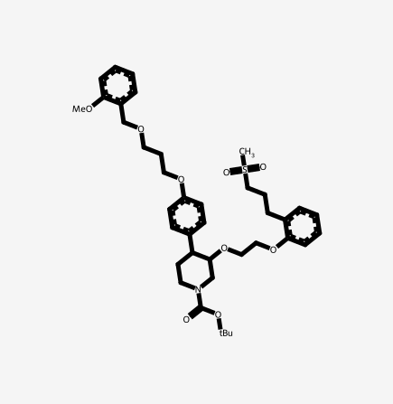 COc1ccccc1COCCCOc1ccc(C2CCN(C(=O)OC(C)(C)C)CC2OCCOc2ccccc2CCCS(C)(=O)=O)cc1